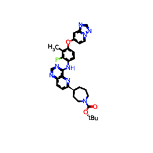 Cc1c(Oc2ccn3ncnc3c2)ccc(Nc2ncnc3ccc([C@H]4CCCN(C(=O)OC(C)(C)C)CC4)nc23)c1F